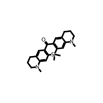 CN1CCCc2cc3c(cc21)[Si](C)(C)c1cc2c(cc1C3=O)CCCN2C